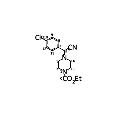 CCOC(=O)N1CCN(C(C#N)c2ccc(Cl)cc2)CC1